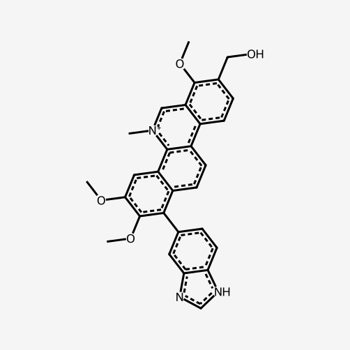 COc1cc2c(ccc3c4ccc(CO)c(OC)c4c[n+](C)c23)c(-c2ccc3[nH]cnc3c2)c1OC